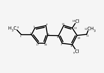 CCc1ccc(-c2cc(Cl)c(CC)c(Cl)c2)cc1